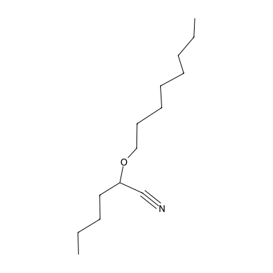 CCCCCCCCOC(C#N)CCCC